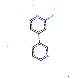 Fc1cc(-c2cccnc2)ccn1